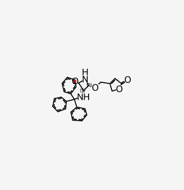 O=C1C=C(CO[C@H]2NC(=O)[C@H]2NC(c2ccccc2)(c2ccccc2)c2ccccc2)CO1